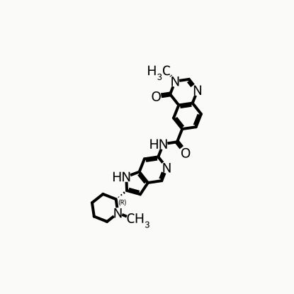 CN1CCCC[C@@H]1c1cc2cnc(NC(=O)c3ccc4ncn(C)c(=O)c4c3)cc2[nH]1